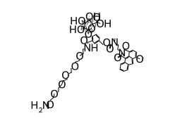 COc1ccc2c3c(c4ccccc4cc13)C(=O)N(CCN(C)C(=O)OCc1ccc(O[C@@H]3O[C@H](C(=O)O)[C@@H](O)[C@H](O)[C@H]3O)c(C(=O)NCCOCCOCCOCCOCCOCCON)c1)C2=O